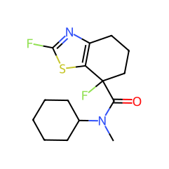 CN(C(=O)C1(F)CCCc2nc(F)sc21)C1CCCCC1